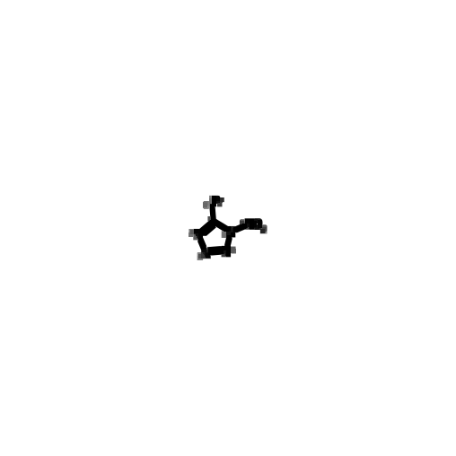 CC(C)c1nnnn1[N+](=O)[O-]